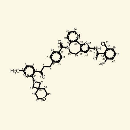 Cc1ccc(C(=O)CCc2ccc(C(=O)N3CCc4cc(NC(=O)c5c(F)cccc5Cl)sc4-c4ncccc43)cc2)c(N2CC3(CCOCC3)C2)n1